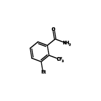 CCc1cccc(C(N)=O)c1C(F)(F)F